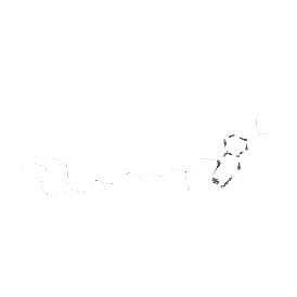 CN1CCN(CCCCCCCCC(O)Cc2cccc3cc(N(C)C)ccc23)CC1